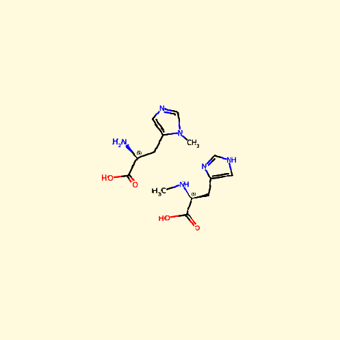 CN[C@@H](Cc1c[nH]cn1)C(=O)O.Cn1cncc1C[C@H](N)C(=O)O